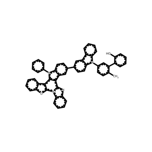 Cc1ccc(-n2c3ccccc3c3cc(-c4ccc5c(c4)c4c(c6c7ccccc7oc6n6c7ccccc7nc46)n5-c4ccccc4)ccc32)cc1-c1ccccc1O